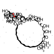 C[C@@H]1[C@H](O)[C@@H](C)/C=C/C=C/C=C/C=C/C=C/C=C/C=C/[C@H](O[C@@H]2O[C@H](C)[C@@H](O)[C@H](N/C(N)=N\O)[C@@H]2O)C[C@@H]2O[C@](O)(C[C@@H](O)C[C@@H](O)[C@H](O)CC[C@@H](O)C[C@@H](O)CC(=O)O[C@H]1C)C[C@H](O)[C@H]2NC(=O)NC[C@H](O)CO